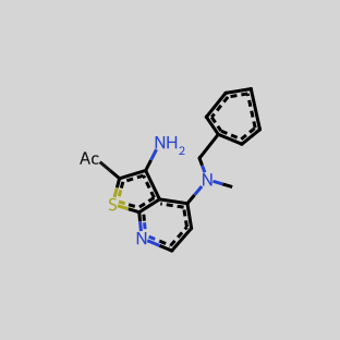 CC(=O)c1sc2nccc(N(C)Cc3ccccc3)c2c1N